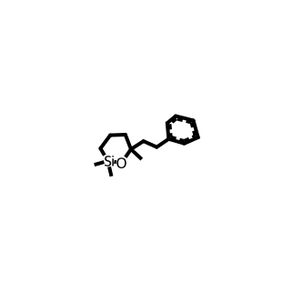 CC1(CCc2ccccc2)CCC[Si](C)(C)O1